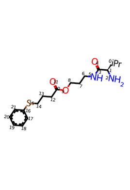 CC(C)[C@@H](N)C(=O)NCCCOC(=O)CCCSc1ccccc1